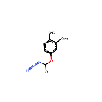 CCC(N=[N+]=[N-])Oc1ccc(C=O)c(OC)c1